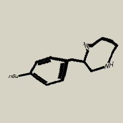 CCCCc1ccc(C2CNCC[N]2)cc1